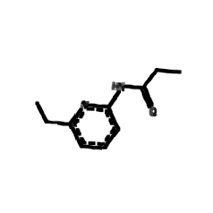 CCC(=O)Nc1cccc(CC)n1